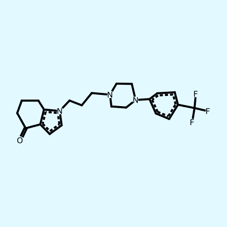 O=C1CCCc2c1ccn2CCCN1CCN(c2ccc(C(F)(F)F)cc2)CC1